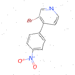 O=[N+]([O-])c1ccc(-c2ccncc2Br)cc1